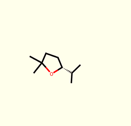 CC(C)[C@H]1CCC(C)(C)O1